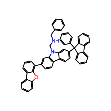 c1ccc(CNCn2c3cc(-c4cccc5c4oc4ccccc45)ccc3c3ccc(C4(c5ccccc5)c5ccccc5-c5ccccc54)cc32)cc1